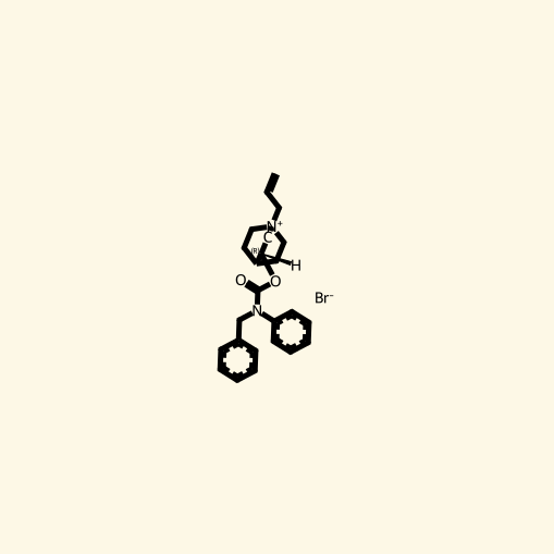 C=CC[N+]12CCC(CC1)[C@@H](OC(=O)N(Cc1ccccc1)c1ccccc1)C2.[Br-]